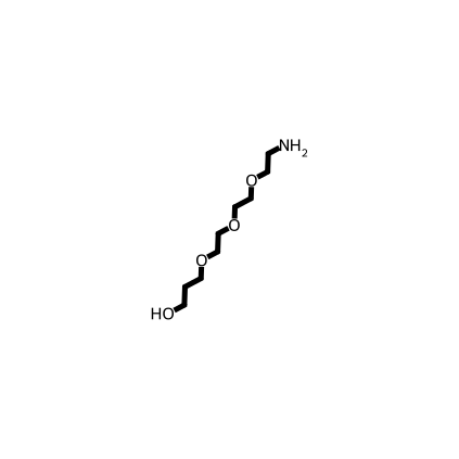 NCCOCCOCCOCCCO